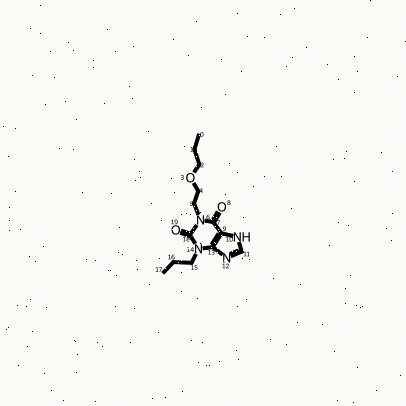 CCCOCCn1c(=O)c2[nH]cnc2n(CCC)c1=O